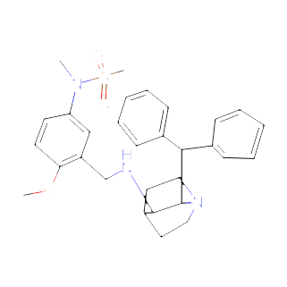 COc1ccc(N(C)S(C)(=O)=O)cc1CNC1C2CCN(CC2)C1C(c1ccccc1)c1ccccc1